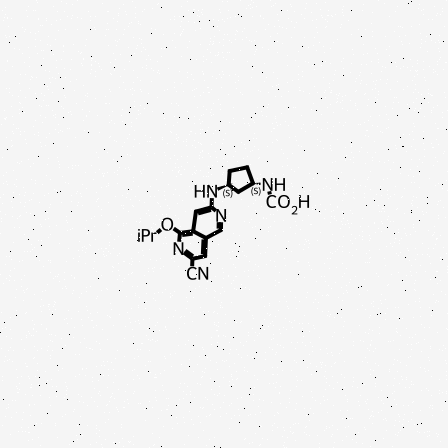 CC(C)Oc1nc(C#N)cc2cnc(N[C@H]3CC[C@H](NC(=O)O)C3)cc12